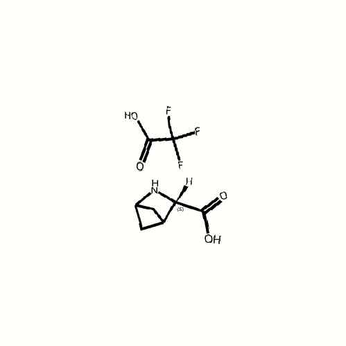 O=C(O)C(F)(F)F.O=C(O)[C@H]1NC2CC1C2